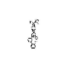 O=C(c1nccs1)N1CCN(C2CC(=O)N(c3cccc(-c4ccccc4Cl)c3)C2)CC1